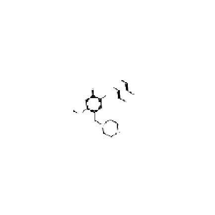 CCOc1cc(Cl)c(Cl)cc1CN1CCN[C@@H](C)C1.O=C(O)/C=C/C(=O)O.O=C(O)/C=C/C(=O)O